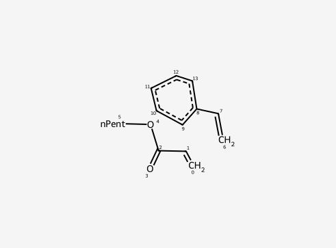 C=CC(=O)OCCCCC.C=Cc1ccccc1